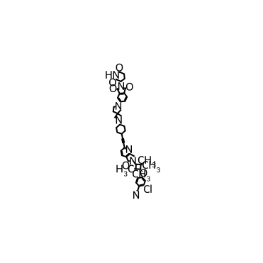 CC1(C)[C@H](Oc2ccc(C#N)c(Cl)c2)C(C)(C)[C@H]1N1Cc2nc(C#CC3CCC(N4CC5(CCN(c6ccc7c(c6)C(=O)N(C6CCC(=O)NC6=O)C7=O)C5)C4)CC3)ccc2C1=O